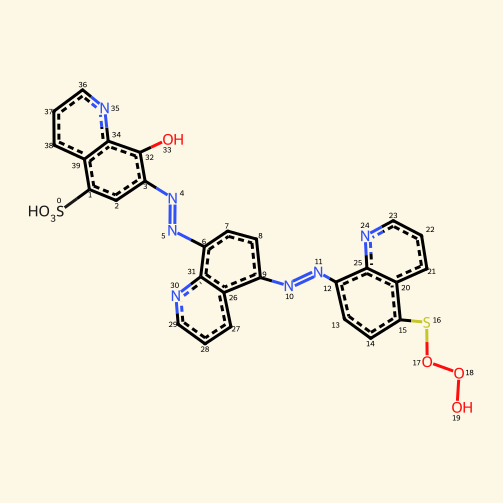 O=S(=O)(O)c1cc(/N=N/c2ccc(/N=N/c3ccc(SOOO)c4cccnc34)c3cccnc23)c(O)c2ncccc12